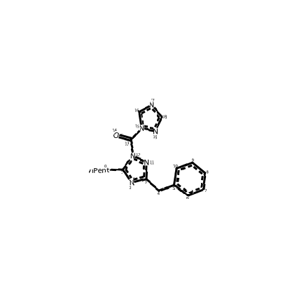 CCCCCc1nc(Cc2ccccc2)nn1C(=O)n1cncn1